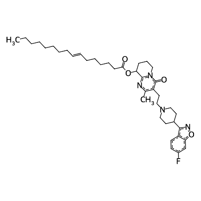 CCCCCCCC/C=C/CCCCCC(=O)OC1CCCn2c1nc(C)c(CCN1CCC(c3noc4cc(F)ccc34)CC1)c2=O